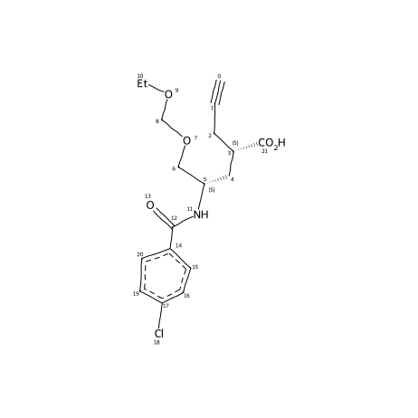 C#CC[C@@H](C[C@@H](COCOCC)NC(=O)c1ccc(Cl)cc1)C(=O)O